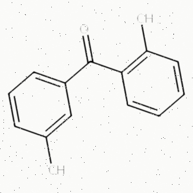 Cc1cccc(C(=O)c2[c]cccc2C)c1